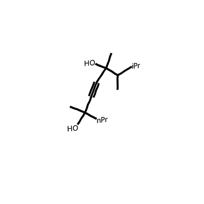 CCCC(C)(O)C#CC(C)(O)C(C)C(C)C